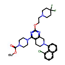 CC(C)(C)OC(=O)N1CCN(c2nc(OCCN3CCC(F)(F)CC3)nc3c2CCN(c2cccc4cccc(Cl)c24)C3)CC1